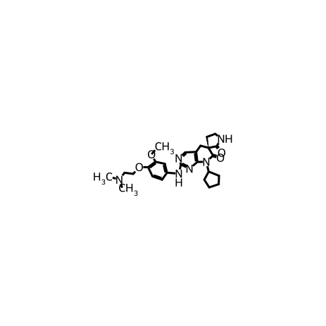 COc1cc(Nc2ncc3c(n2)N(C2CCCC2)C(=O)[C@]2(CCNC2=O)C3)ccc1OCCN(C)C